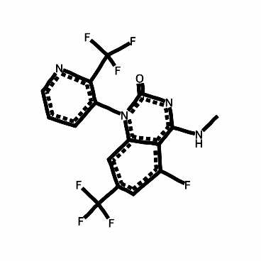 CNc1nc(=O)n(-c2cccnc2C(F)(F)F)c2cc(C(F)(F)F)cc(F)c12